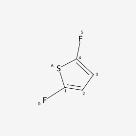 Fc1ccc(F)s1